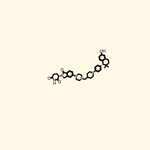 CC1(C)CCc2cc(O)ccc2[C@H]1c1ccc(N2CCC(CN3CCN(c4ccc5c(c4)CN([C@@H]4CCC(=O)NC4=O)C5=O)CC3)CC2)cc1